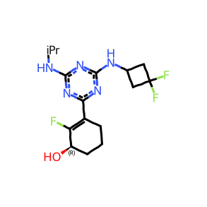 CC(C)Nc1nc(NC2CC(F)(F)C2)nc(C2=C(F)[C@H](O)CCC2)n1